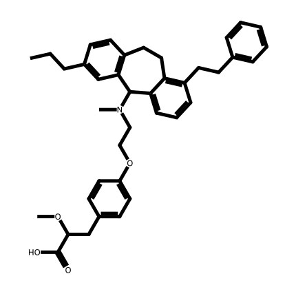 CCCc1ccc2c(c1)C(N(C)CCOc1ccc(CC(OC)C(=O)O)cc1)c1cccc(CCc3ccccc3)c1CC2